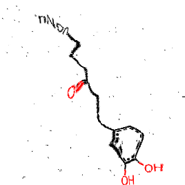 CCCCCCCCCCCCC(=O)CCc1ccc(O)c(O)c1